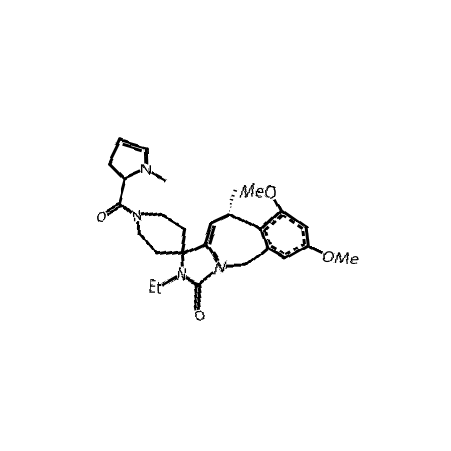 CCN1C(=O)N2Cc3cc(OC)cc(OC)c3[C@@H](C)C=C2C12CCN(C(=O)C1CC=CN1C)CC2